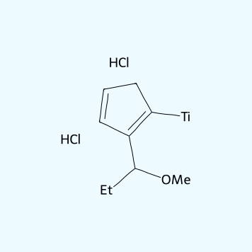 CCC(OC)C1=[C]([Ti])CC=C1.Cl.Cl